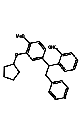 COc1ccc(C(Cc2ccncc2)c2ccccc2C=O)cc1OC1CCCC1